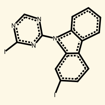 Ic1ccc2c3ccccc3n(-c3ncnc(I)n3)c2c1